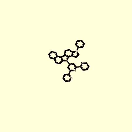 c1ccc(-n2ccc3c2ccc2c4c5ccccc5ccc4n(-c4cc(-c5ccccn5)nc(-c5ccccn5)c4)c23)cc1